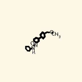 COCCc1ccc(-c2ccc3oc(NC4CCCCC4)nc3c2)cc1